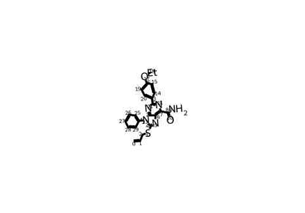 C=CCSc1nc2c(C(N)=O)nc(-c3ccc(OCC)cc3)nc2n1-c1ccccc1